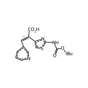 CC(C)(C)OC(=O)Nc1nc(/C(=C\c2cccnc2)C(=O)O)cs1